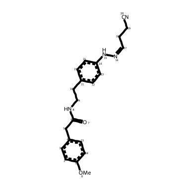 COc1ccc(CC(=O)NCCc2ccc(N/N=C\CCC#N)cc2)cc1